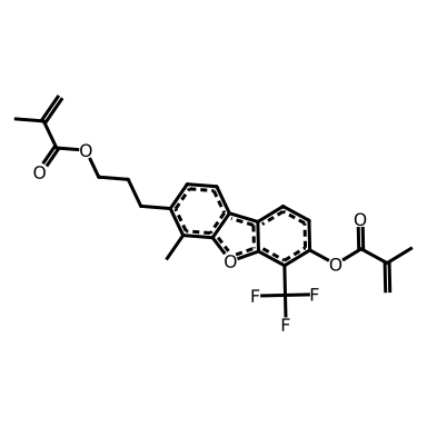 C=C(C)C(=O)OCCCc1ccc2c(oc3c(C(F)(F)F)c(OC(=O)C(=C)C)ccc32)c1C